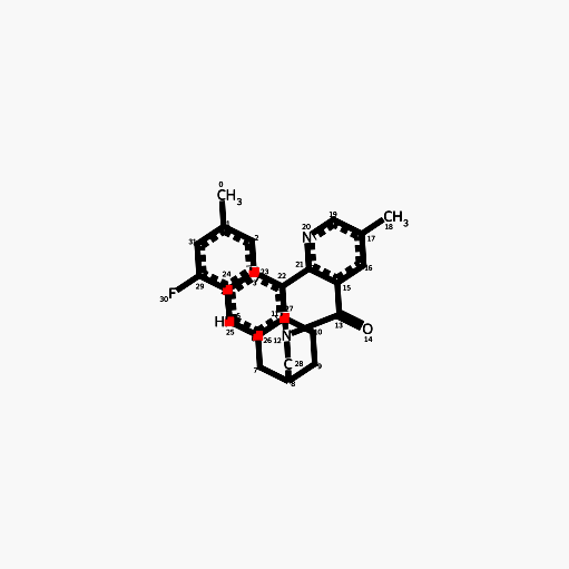 Cc1cnc(NC2CC3CCC2N(C(=O)c2cc(C)cnc2-c2ncccn2)C3)c(F)c1